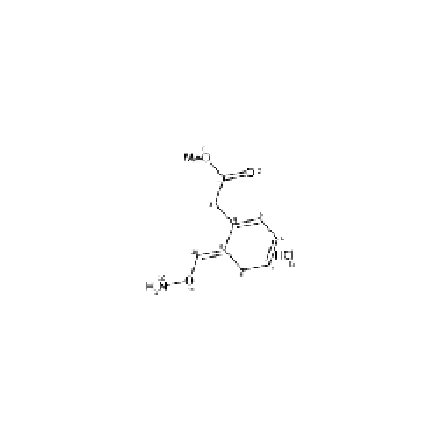 COC(=O)CC1=CC=CCC1=CON.Cl